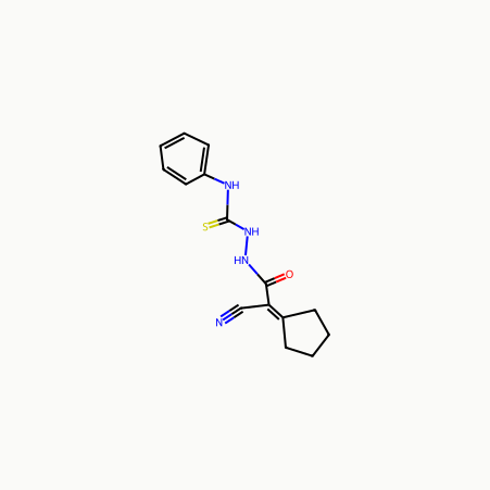 N#CC(C(=O)NNC(=S)Nc1ccccc1)=C1CCCC1